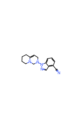 N#Cc1cccc2c1cnn2N1CC=C2CCCCN2C1